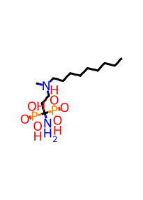 CCCCCCCCCN(C)CCC(N)(P(=O)(O)O)P(=O)(O)O